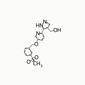 CS(=O)(=O)c1cccc(COc2ccc(-c3[nH]ncc3CO)nc2)c1